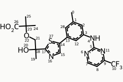 Cc1cc(Nc2nccc(C(F)(F)F)n2)cc(-c2cnc(C(C)(O)COC(C)(C)C(=O)O)s2)c1